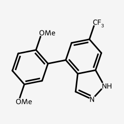 COc1ccc(OC)c(-c2cc(C(F)(F)F)cc3[nH]ncc23)c1